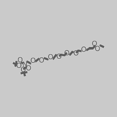 CCOC(=O)/C=C/COCCOCCOCCOCCOCCOCCOCCN(C(=O)OC(C)(C)C)C(=O)OC(C)(C)C